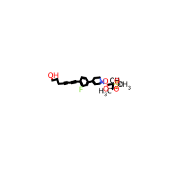 CCC(C)(C(=O)ON1CC=C(c2ccc(C#CC#CCCCO)c(F)c2)CC1)S(C)(=O)=O